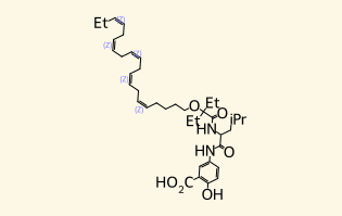 CC/C=C\C/C=C\C/C=C\C/C=C\C/C=C\CCCCOC(CC)(CC)C(=O)NC(CC(C)C)C(=O)Nc1ccc(O)c(C(=O)O)c1